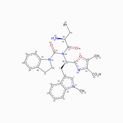 Cc1oc([C@@H](Cc2cn(C)c3ccccc23)N(C(=O)[C@@H](N)CC(C)C)C(=O)N2CCc3ccccc32)nc1C(=O)O